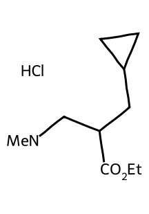 CCOC(=O)C(CNC)CC1CC1.Cl